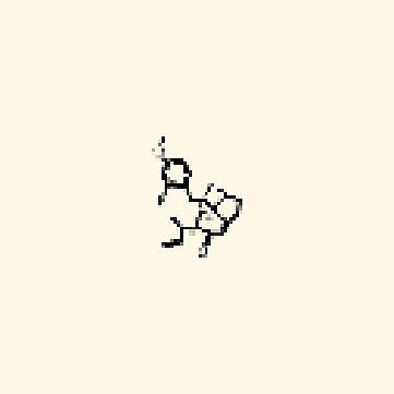 C=CC(C)[C@H]1C[C@]2([C@H](C)Cc3ccc(OC)cc3F)OCCC2=CC1=O